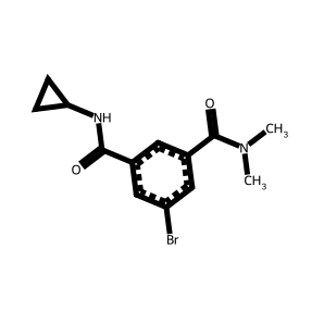 CN(C)C(=O)c1cc(Br)cc(C(=O)NC2CC2)c1